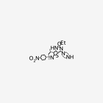 CCOC1=NC(N2CCNCC2)=c2sc3c(c2N1)C(C)=CC(C)(c1ccc([N+](=O)[O-])cc1)N=3